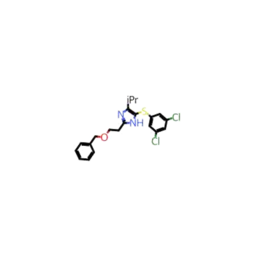 CC(C)c1nc(CCOCc2ccccc2)[nH]c1Sc1cc(Cl)cc(Cl)c1